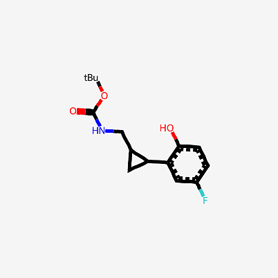 CC(C)(C)OC(=O)NCC1CC1c1cc(F)ccc1O